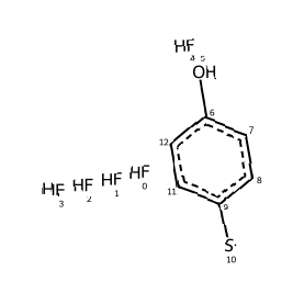 F.F.F.F.F.Oc1ccc([S])cc1